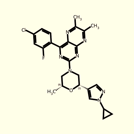 Cc1nc2nc(N3C[C@@H](C)O[C@@H](c4cnn(C5CC5)c4)C3)nc(-c3ccc(Cl)cc3F)c2nc1C